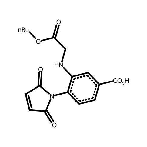 CCCCOC(=O)CNc1cc(C(=O)O)ccc1N1C(=O)C=CC1=O